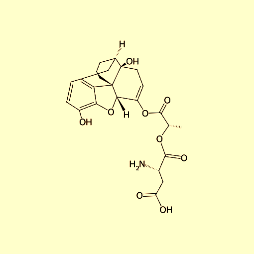 C[C@H](OC(=O)[C@@H](N)CC(=O)O)C(=O)OC1=CC[C@@]2(O)[C@@H]3CCC[C@@]24c2c(ccc(O)c2O[C@@H]14)C3